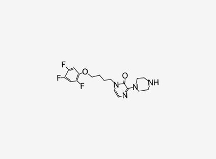 O=c1c(N2CCNCC2)nccn1CCCCOc1cc(F)c(F)cc1F